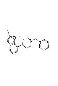 Cc1cc2cccc([C@@H]3CCN(Cc4ccccc4)C[C@H]3C)c2o1